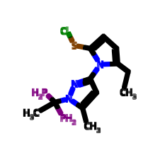 CCc1ccc(SCl)n1-c1cc(C)n(C(C)(P)P)n1